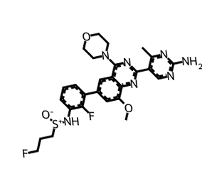 COc1cc(-c2cccc(N[S+]([O-])CCCF)c2F)cc2c(N3CCOCC3)nc(-c3cnc(N)nc3C)nc12